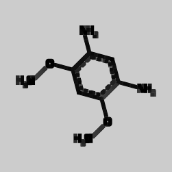 Nc1cc(N)c(O[SiH3])cc1O[SiH3]